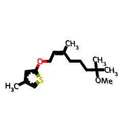 COC(C)(C)CCCC(C)=CCOc1cc(C)cs1